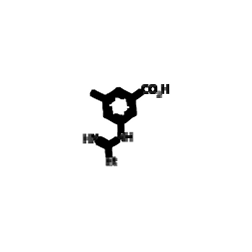 CCC(=N)Nc1cc(C)cc(C(=O)O)c1